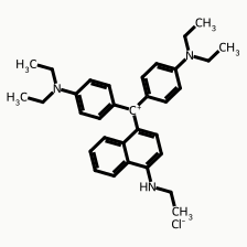 CCNc1ccc([C+](c2ccc(N(CC)CC)cc2)c2ccc(N(CC)CC)cc2)c2ccccc12.[Cl-]